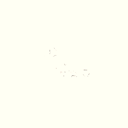 OC[C@@H]1O[C@@H](Sc2ccc(Cl)c(Cl)c2)[C@@H](O)[C@H](n2cc(-c3cncc(F)c3)nn2)[C@@H]1O